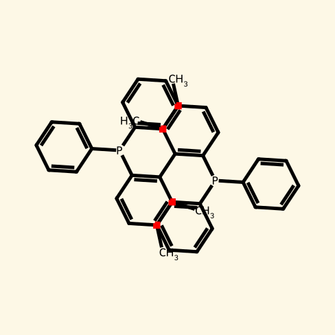 Cc1ccc(P(c2ccccc2)c2ccccc2)c(-c2c(P(c3ccccc3)c3ccccc3)ccc(C)c2C)c1C